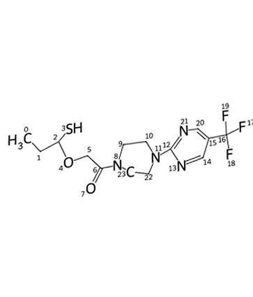 CCC(S)OCC(=O)N1CCN(c2ncc(C(F)(F)F)cn2)CC1